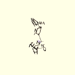 C=NC1=C(/N=C(\C)c2ccc(-c3nnc[nH]3)nc2C)N(C)C(=O)CN1